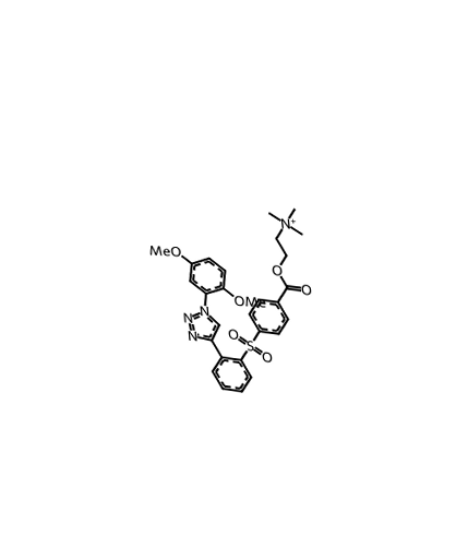 COc1ccc(OC)c(-n2cc(-c3ccccc3S(=O)(=O)c3ccc(C(=O)OCC[N+](C)(C)C)cc3)nn2)c1